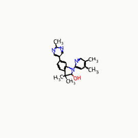 Cc1ncc(-c2ccc3c(c2)N(c2cc(C)c(C)cn2)C(O)C3(C)C)cn1